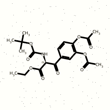 CCOC(=O)[C@@H](NC(=O)OC(C)(C)C)C(=O)c1ccc(OC(C)=O)c(OC(C)=O)c1